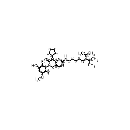 COc1cc(O)c(F)c(N2Cc3cnc(NCCCCCN(C(C)C)C(C)C)nc3N(C3CCCC3)C2=O)c1F